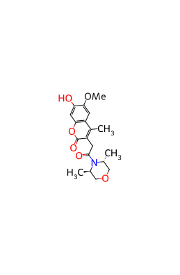 COc1cc2c(C)c(CC(=O)N3[C@H](C)COC[C@H]3C)c(=O)oc2cc1O